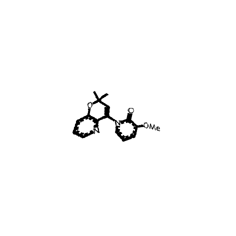 COc1cccn(C2=CC(C)(C)Oc3cccnc32)c1=O